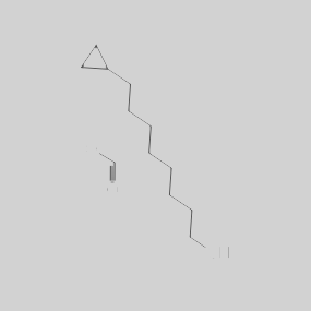 CCCCCCCCCC1CC1.O=CO